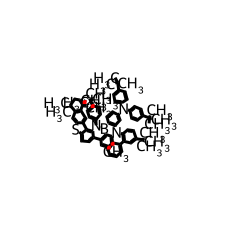 Cc1cc2c3c(c1)N(c1ccc(C(C)(C)C)cc1-c1ccccc1)c1cc(N(c4ccc(C(C)(C)C)cc4)c4ccc(C(C)(C)C)cc4)ccc1B3N(c1ccc(C(C)(C)C)cc1)c1c-2ccc2sc3cc4c(cc3c12)C(C)(C)CCC4(C)C